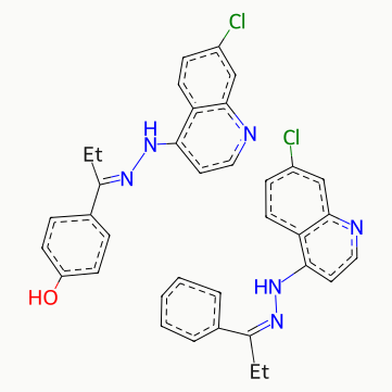 CC/C(=N/Nc1ccnc2cc(Cl)ccc12)c1ccccc1.CC/C(=N\Nc1ccnc2cc(Cl)ccc12)c1ccc(O)cc1